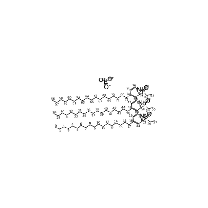 CCCCCCCCCCCCCCCCCCc1cc[n+]2c(c1)P2(=O)CC.CCCCCCCCCCCCCCCCCCc1cc[n+]2c(c1)P2(=O)CC.CCCCCCCCCCCCCCCCCCc1cc[n+]2c(c1)P2(=O)CC.[O-]B([O-])[O-]